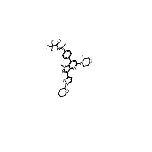 C[C@@H]1COCCN1c1cc(-c2ccc(S(C)=NC(=O)C(F)(F)F)cc2)c2c(n1)c(-c1ccn(C3CCCCO3)n1)nn2C